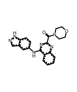 O=C(c1nc(Nc2ccc3[nH]ncc3c2)c2ccccc2n1)N1CCOCC1